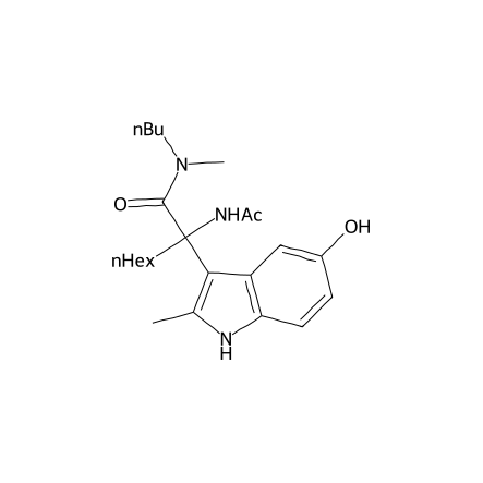 CCCCCCC(NC(C)=O)(C(=O)N(C)CCCC)c1c(C)[nH]c2ccc(O)cc12